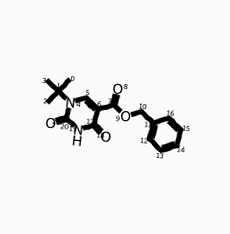 CC(C)(C)n1cc(C(=O)OCc2ccccc2)c(=O)[nH]c1=O